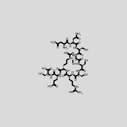 N=C(N)NCCC[C@H](NC(=O)[C@H](CCCNC(=N)N)NC(=O)[C@H](CS)NC(=O)[C@H](CS)NC(=O)[C@H](CS)NC(=O)[C@H](CS)NC(=O)[C@H](CC(N)=O)NC(=O)[C@@H](N)CC(N)=O)C(=O)N[C@@H](CCC(=O)O)C(=O)N[C@@H](CO)C(=O)O